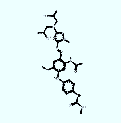 CNC(=O)Nc1ccc(Nc2cc(NC(C)=O)c(N=Nc3sc(N(CC(C)O)CC(C)O)n[n+]3C)cc2OC)cc1